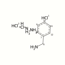 Cl.Cl.Cl.N.N.NCc1ccccc1